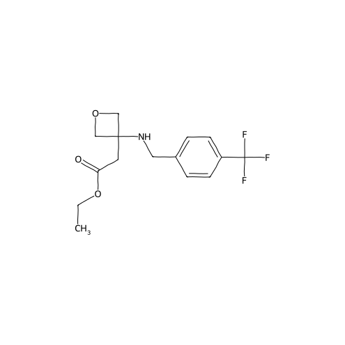 CCOC(=O)CC1(NCc2ccc(C(F)(F)F)cc2)COC1